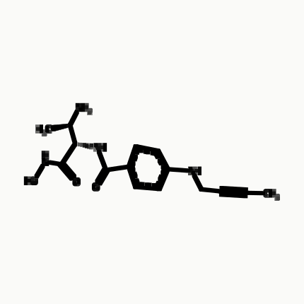 CC#CCNc1ccc(C(=O)N[C@H](C(=O)NO)[C@@H](C)N)cc1